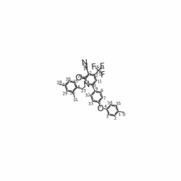 Cc1ccc(Oc2ccc(-c3cc(C(F)(F)F)c(C#N)c(=O)n3Cc3ccc(C)cc3C)cc2)cc1